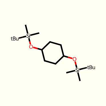 CC(C)(C)[Si](C)(C)OC1CCC(O[Si](C)(C)C(C)(C)C)CC1